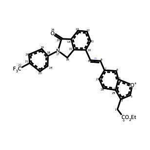 CCOC(=O)Cc1coc2cc(/C=C/c3cccc4c3CN(c3ccc(C(F)(F)F)cc3)C4=O)ccc12